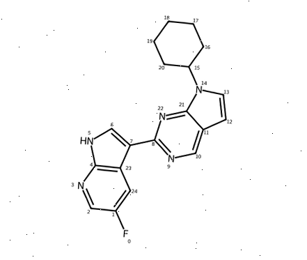 Fc1cnc2[nH]cc(-c3ncc4ccn(C5CCCCC5)c4n3)c2c1